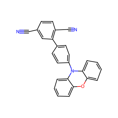 N#Cc1ccc(C#N)c(-c2ccc(N3c4ccccc4Oc4ccccc43)cc2)c1